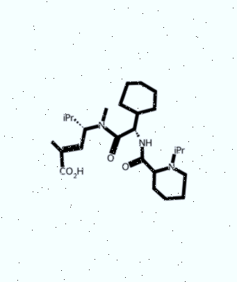 C/C(=C\[C@H](C(C)C)N(C)C(=O)[C@@H](NC(=O)C1CCCCN1C(C)C)C1CCCCC1)C(=O)O